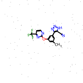 Cc1cc(Oc2nccc(C(F)(F)F)n2)cc(-c2nn[nH]c2C#N)c1